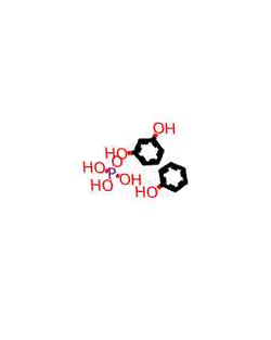 O=P(O)(O)O.Oc1cccc(O)c1.Oc1ccccc1